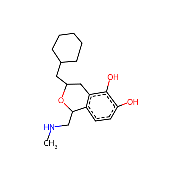 CNCC1OC(CC2CCCCC2)Cc2c1ccc(O)c2O